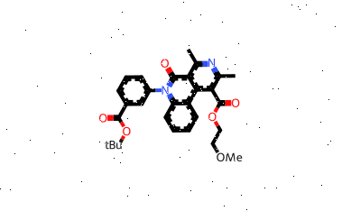 COCCOC(=O)c1c(C)nc(C)c2c(=O)n(-c3cccc(C(=O)OC(C)(C)C)c3)c3ccccc3c12